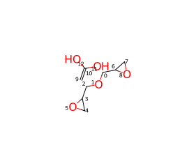 C(OCC1CO1)C1CO1.C=C(O)O